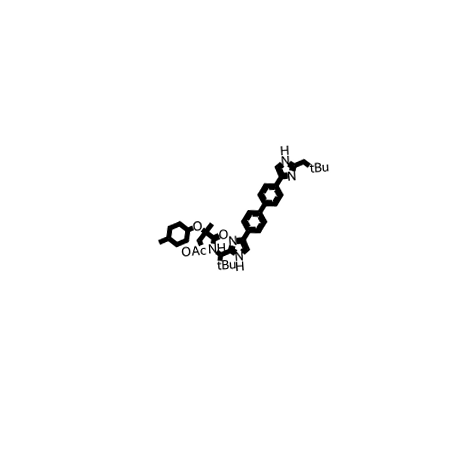 CC(=O)OCC(C)(OC1CCC(C)CC1)C(=O)NC(c1nc(-c2ccc(-c3ccc(-c4c[nH]c(CC(C)(C)C)n4)cc3)cc2)c[nH]1)C(C)(C)C